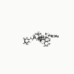 CC[C@H](NC)C(=O)N[C@H](C(=O)N1CC[C@@H]2CCN(CCc3ccccc3)C[C@@H]21)C1CCCCC1